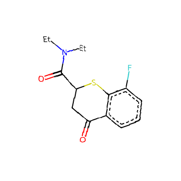 CCN(CC)C(=O)C1CC(=O)c2cccc(F)c2S1